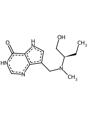 CC[C@H](CO)N(C)Cc1c[nH]c2c(=O)[nH]cnc12